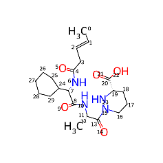 C/C=C/CC(=O)N[C@H](C(=O)N[C@@H](C)C(=O)N1CCC[C@@H](C(=O)O)N1)C1CCCCC1